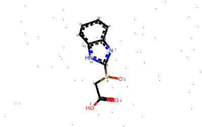 O=C(O)C[S+]([O-])c1nc2ccccc2[nH]1